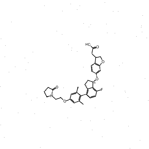 Cc1cc(OCCN2CCCC2=O)cc(C)c1-c1ccc(F)c2c1CC[C@H]2Oc1ccc2c(c1)OCC2CC(=O)O